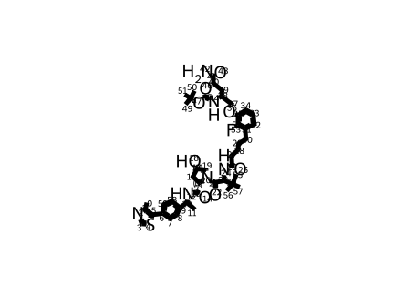 Cc1ncsc1-c1ccc(C(C)NC(=O)[C@@H]2C[C@@H](O)CN2C(=O)C(NC(=O)CCCCc2cccc(OCC(CCC(N)=O)NC(=O)OC(C)(C)C)c2F)C(C)(C)C)cc1